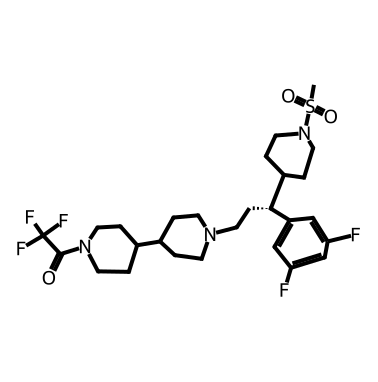 CS(=O)(=O)N1CCC([C@@H](CCN2CCC(C3CCN(C(=O)C(F)(F)F)CC3)CC2)c2cc(F)cc(F)c2)CC1